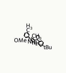 COc1ccc(C)cc1N(N)/C(C)=C(\N)C(=O)c1ccc(C(C)(C)C)cc1